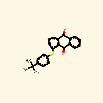 CC(C)(C)c1ccc(Sc2cccc3c2C(=O)c2ccccc2C3=O)cc1